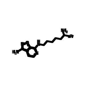 CCCC(N)CCCCCNc1nccc2c(N)noc12